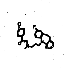 CN(CCCN1c2ccccc2CCc2cc(F)ccc21)CC(=O)c1ccc(Cl)cc1